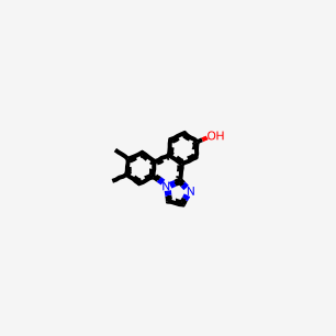 Cc1cc2c3ccc(O)cc3c3nccn3c2cc1C